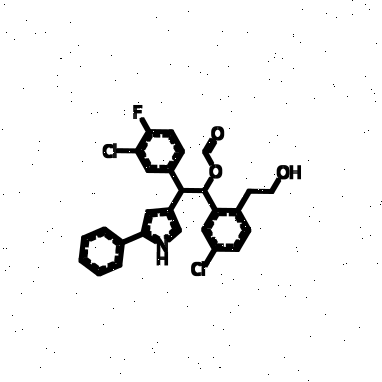 O=COC(c1cc(Cl)ccc1CCO)C(c1c[nH]c(-c2ccccc2)c1)c1ccc(F)c(Cl)c1